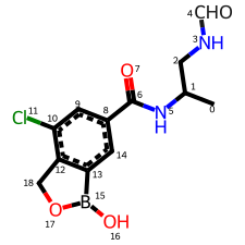 CC(CNC=O)NC(=O)c1cc(Cl)c2c(c1)B(O)OC2